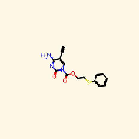 C#Cc1cn(C(=O)OCCSc2ccccc2)c(=O)nc1N